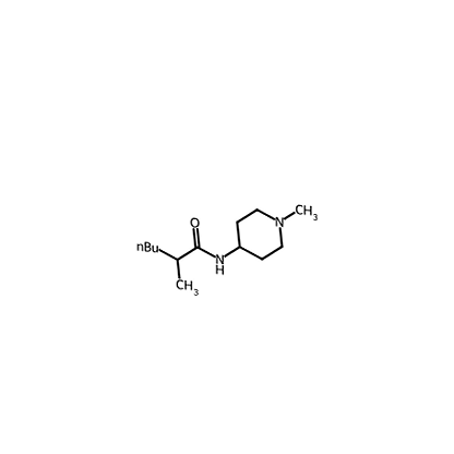 CCCCC(C)C(=O)NC1CCN(C)CC1